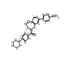 Nc1ccc(-c2ccc3c(c2)CN(C(=O)c2ccc(C4CCCCC4)cc2)CCO3)cn1